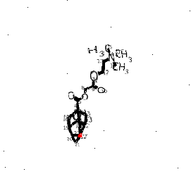 CC1C2CC3(C(=O)OCC(=O)OCC[N+](C)(C)C)CC1C1C(C3)C21